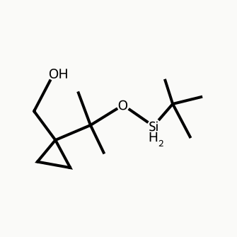 CC(C)(C)[SiH2]OC(C)(C)C1(CO)CC1